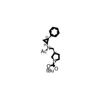 CC(=O)N(C[C@H]1CCN(C(=O)OC(C)(C)C)C1)[C@@H]1C[C@H]1c1ccccc1